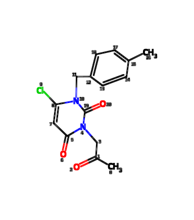 CC(=O)Cn1c(=O)cc(Cl)n(Cc2ccc(C)cc2)c1=O